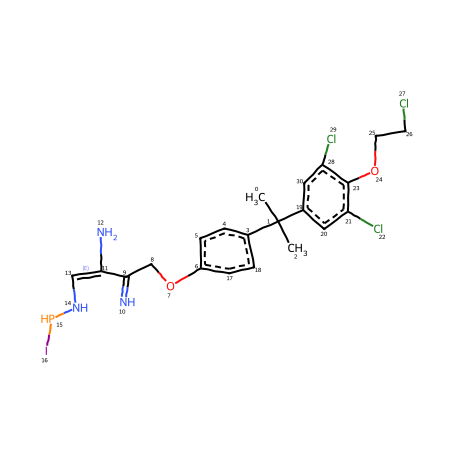 CC(C)(c1ccc(OCC(=N)/C(N)=C\NPI)cc1)c1cc(Cl)c(OCCCl)c(Cl)c1